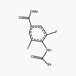 COC(=O)c1cc(F)c(NC(=O)C(C)C)c(F)c1